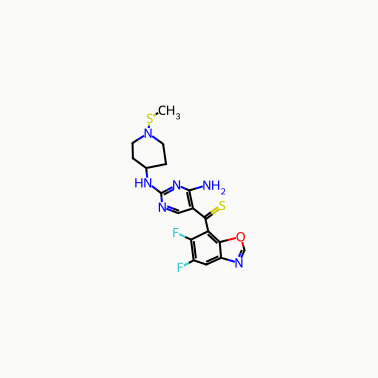 CSN1CCC(Nc2ncc(C(=S)c3c(F)c(F)cc4ncoc34)c(N)n2)CC1